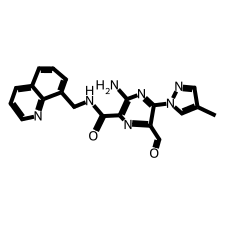 Cc1cnn(-c2nc(N)c(C(=O)NCc3cccc4cccnc34)nc2C=O)c1